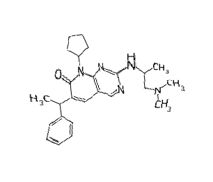 CC(CN(C)C)Nc1ncc2cc(C(C)c3ccccc3)c(=O)n(C3CCCC3)c2n1